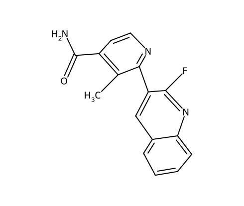 Cc1c(C(N)=O)ccnc1-c1cc2ccccc2nc1F